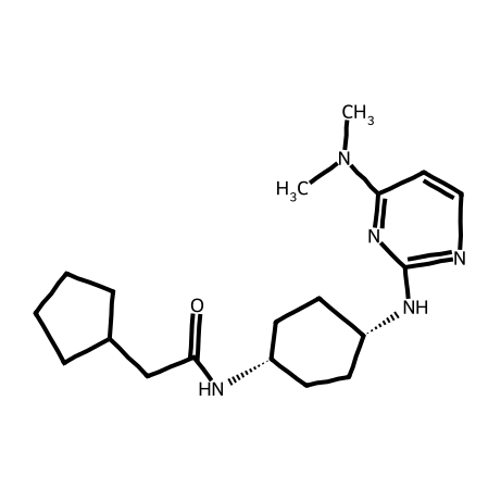 CN(C)c1ccnc(N[C@H]2CC[C@@H](NC(=O)CC3CCCC3)CC2)n1